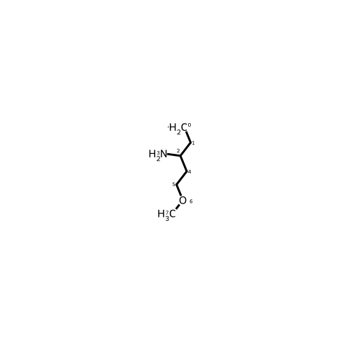 [CH2]CC(N)CCOC